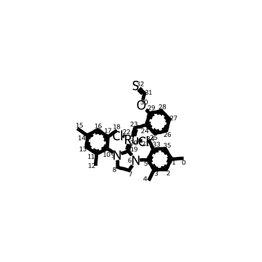 Cc1cc(C)c(N2CCN(c3c(C)cc(C)cc3C)[C]2=[Ru]([Cl])([Cl])=[CH]c2ccccc2OC=S)c(C)c1